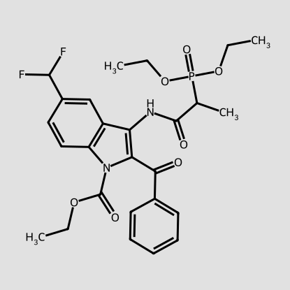 CCOC(=O)n1c(C(=O)c2ccccc2)c(NC(=O)C(C)P(=O)(OCC)OCC)c2cc(C(F)F)ccc21